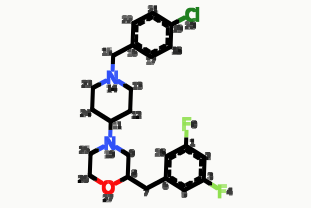 Fc1cc(F)cc(CC2CN(C3CCN(Cc4ccc(Cl)cc4)CC3)CCO2)c1